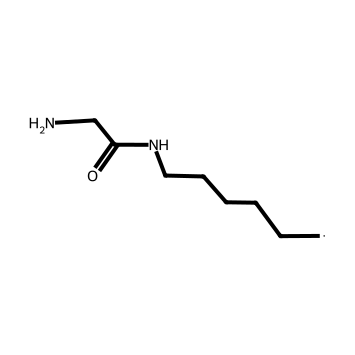 [CH2]CCCCCNC(=O)CN